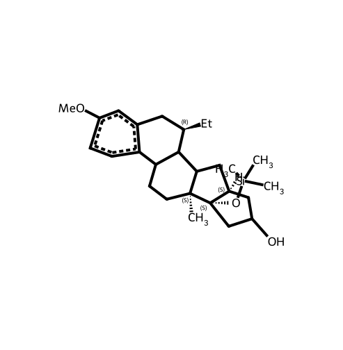 CC[C@@H]1Cc2cc(OC)ccc2C2CC[C@@]3(C)C(C[C@H]4CC(O)C[C@]43O[Si](C)(C)C)C21